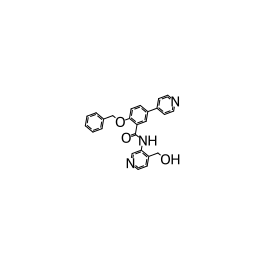 O=C(Nc1cnccc1CO)c1cc(-c2ccncc2)ccc1OCc1ccccc1